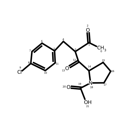 CC(=O)C(Cc1ccc(Cl)cc1)C(=O)C1CCCN1C(=O)O